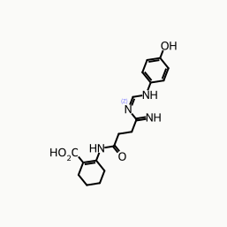 N=C(CCC(=O)NC1=C(C(=O)O)CCCC1)/N=C\Nc1ccc(O)cc1